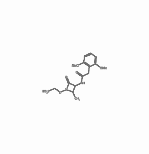 COc1cccc(OC)c1CC(=O)NC1C(=O)N(OCS(=O)(=O)O)C1C